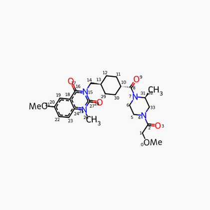 COCC(=O)N1CCN(C(=O)[C@H]2CC[C@H](Cn3c(=O)c4cc(OC)ccc4n(C)c3=O)CC2)[C@@H](C)C1